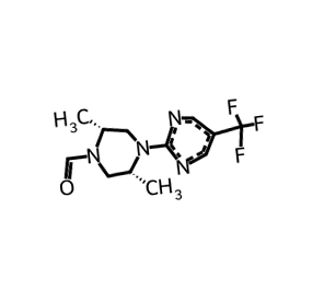 C[C@@H]1CN(c2ncc(C(F)(F)F)cn2)[C@H](C)CN1C=O